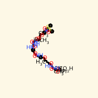 CC(C)CC(OC(=O)C(C)(C)CNC(=O)CNC(=O)/C=C/CCC(C)C1OC1c1ccc(CNC(=O)OCc2ccc(NC(=O)CNC(=O)C(NC(=O)CC(C)OCCC(C)Oc3ccc(N4C(=O)C(Sc5ccccc5)=C(Sc5ccccc5)C4=O)cc3)C(C)C)cc2)cc1)C(=O)O